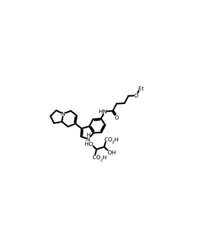 CCOCCCC(=O)Nc1ccc2[nH]cc(C3=CCN4CCCC4C3)c2c1.O=C(O)C(O)C(O)C(=O)O